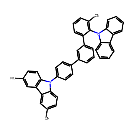 N#Cc1ccc2c(c1)c1cc(C#N)ccc1n2-c1ccc(-c2cccc(-c3cccc(C#N)c3-n3c4ccccc4c4ccccc43)c2)cc1